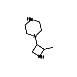 CC1NCC1N1CCNCC1